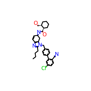 CCCCc1nc2c(n1Cc1ccc(-c3cc(Cl)ccc3C#N)cc1)CC(=NC(=O)[C@@H]1CCCC[C@@H]1C=O)C=C2